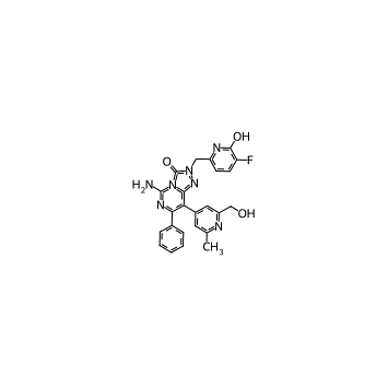 Cc1cc(-c2c(-c3ccccc3)nc(N)n3c(=O)n(Cc4ccc(F)c(O)n4)nc23)cc(CO)n1